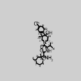 CC1CCCCC(C)([C@H](N)C(=O)N[C@@H](C(=O)N2CC[C@](O)(c3ccc(Cl)cc3)C(C)(C)C2)C(C)C)C1